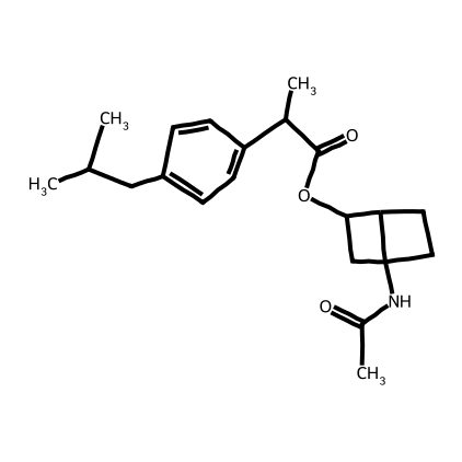 CC(=O)NC12CCC1C(OC(=O)C(C)c1ccc(CC(C)C)cc1)C2